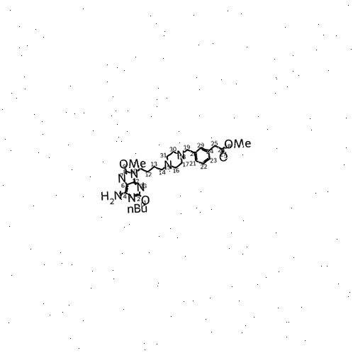 CCCCOc1nc(N)c2nc(OC)n(CCCCN3CCN(Cc4cccc(CC(=O)OC)c4)CC3)c2n1